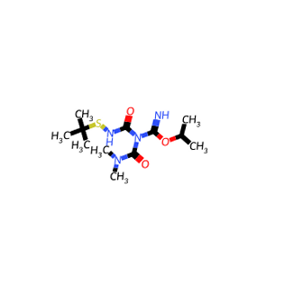 CC(C)OC(=N)N(C(=O)NSC(C)(C)C)C(=O)N(C)C